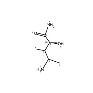 CC(N)C(C)[C@H](O)C(N)=O